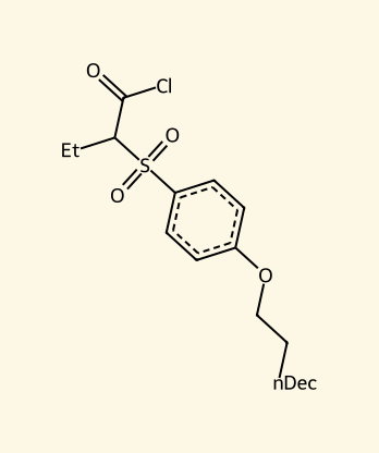 CCCCCCCCCCCCOc1ccc(S(=O)(=O)C(CC)C(=O)Cl)cc1